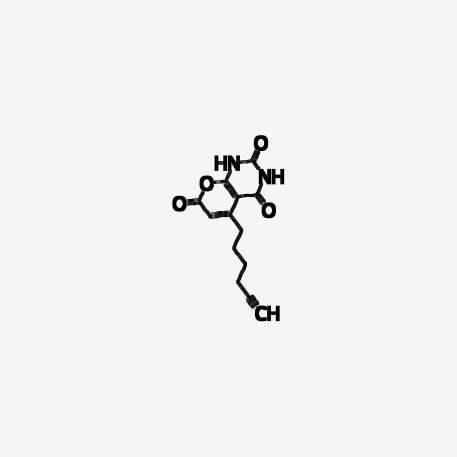 C#CCCCCc1cc(=O)oc2[nH]c(=O)[nH]c(=O)c12